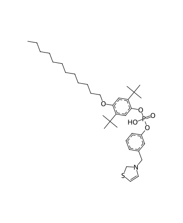 CCCCCCCCCCCCOc1cc(C(C)(C)C)c(OP(=O)(O)Oc2cccc(CN3C=CSC3)c2)cc1C(C)(C)C